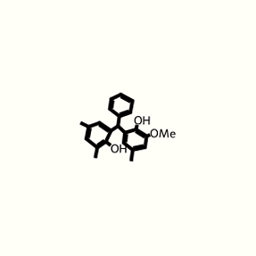 COc1cc(C)cc(C(c2ccccc2)c2cc(C)cc(C)c2O)c1O